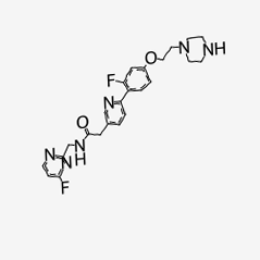 O=C(Cc1ccc(-c2ccc(OCCN3CCNCC3)cc2F)nc1)NCc1nccc(F)n1